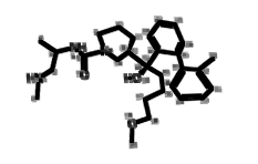 CNCC(C)NC(=O)N1CCC[C@@H]([C@@](O)(CCCCOC)c2ccccc2-c2ccccc2C)C1